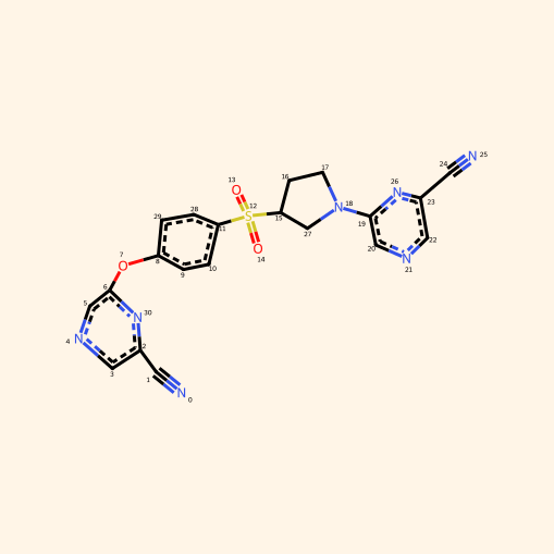 N#Cc1cncc(Oc2ccc(S(=O)(=O)C3CCN(c4cncc(C#N)n4)C3)cc2)n1